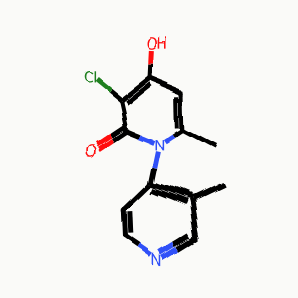 Cc1cnccc1-n1c(C)cc(O)c(Cl)c1=O